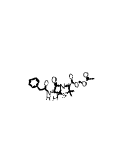 CC(=O)OCOC(=O)[C@@H]1N2C(=O)[C@@H](NC(=O)Cc3ccccc3)[C@H]2SC1(C)C